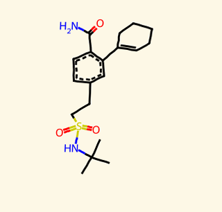 CC(C)(C)NS(=O)(=O)CCc1ccc(C(N)=O)c(C2=CCCCC2)c1